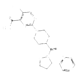 Cc1cnc(N2CCC(C(=O)N3OCC[C@H]3c3cnccn3)CC2)nc1C(N)=O